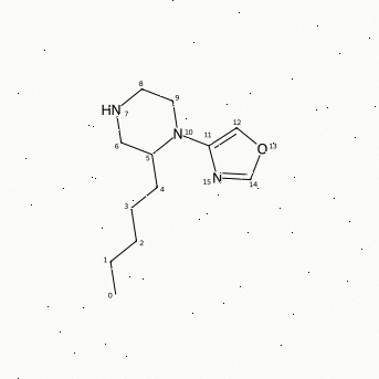 CCCCCC1CNCCN1c1cocn1